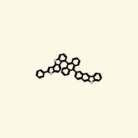 c1ccc(-c2cc3c(ccc4c3oc3cccc(-c5c6ccccc6c(-c6ccc7cc8oc9ccccc9c8cc7c6)c6ccccc56)c34)o2)cc1